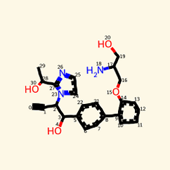 C#CC(C(O)c1ccc(-c2ccccc2OCC(N)CO)cc1)n1ccnc1C(C)O